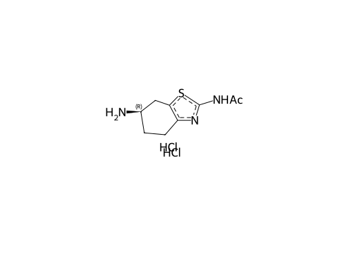 CC(=O)Nc1nc2c(s1)C[C@H](N)CC2.Cl.Cl